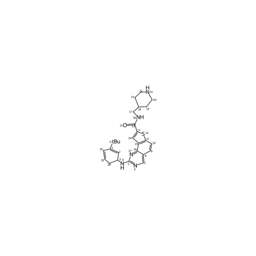 CC(C)(C)C1=CC(Nc2ncc3ccc4sc(C(=O)NCC5CCNCC5)cc4c3n2)CC=C1